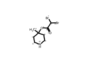 CC1(OC(=O)C(Br)Br)CCNCC1